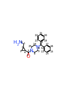 NCC1CC1C(=O)N1CCN(C(c2ccccc2)c2ccccc2)CC1